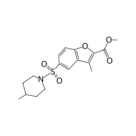 COC(=O)c1oc2ccc(S(=O)(=O)N3CCC(C)CC3)cc2c1C